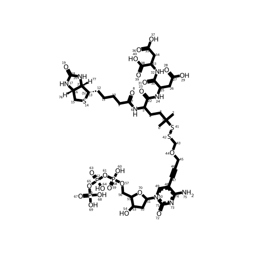 CC(C)(CCC(NC(=O)CCCC[C@@H]1SC[C@@H]2NC(=O)N[C@@H]21)C(=O)NC(CC(=O)O)C(=O)NC(CC(=O)O)C(=O)O)SSCOCC#Cc1cn(C2CC(O)C(COP(=O)(O)OP(=O)(O)OP(=O)(O)O)O2)c(=O)nc1N